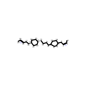 C/C=C\CC1CCC(CCCC[C@H]2CC[C@H](CC/C=C/C)CC2)CC1